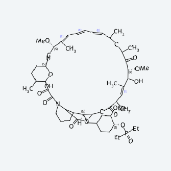 CCP(=O)(CC)O[C@@H]1CCC(C[C@@H]2C3CC(=O)C(C)/C=C(\C)C(O)[C@@H](OC)C(=O)C(C)CC(C)/C=C/C=C/C=C(\C)[C@@H](OC)C[C@@H]4CCC(C)C(O)(O4)C(=O)C(=O)N4CCCC2C4C(=O)O3)CC1OC